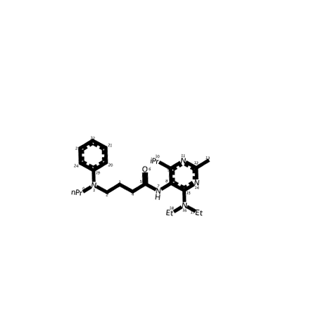 CCCN(CCCC(=O)Nc1c(C(C)C)nc(C)nc1N(CC)CC)c1ccccc1